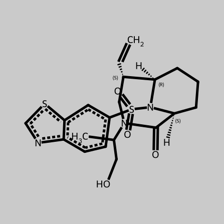 C=C[C@H]1CN(C(C)CO)C(=O)[C@@H]2CCC[C@H]1N2S(=O)(=O)c1ccc2ncsc2c1